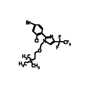 CS(C)(C)CCOCn1cc(C(F)(F)C(F)(F)F)nc1-c1ccc(Br)cc1Cl